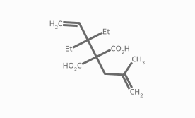 C=CC(CC)(CC)C(CC(=C)C)(C(=O)O)C(=O)O